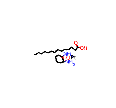 CCCCCCCCCCCCCC(=O)O.N[C@@H]1CCCC[C@H]1N.O.[Pt]